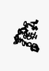 CCCN(CCC)C(=O)C1=Cc2ccc(-c3cccc(S(C)(=O)=NCCOCCOC4CCCCO4)c3)cc2N=C(NC(=O)O)C1